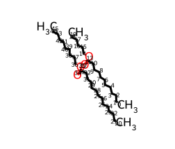 CCCCCCCCCCCC(=O)OCCCCCC.CCCCCCCCCCCCCC(=O)OCCCCCCCCCC